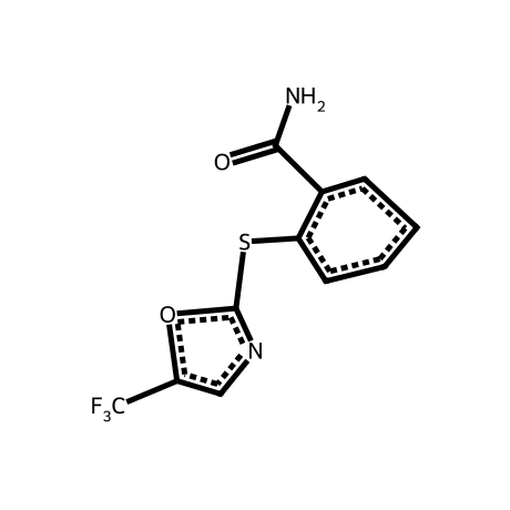 NC(=O)c1ccccc1Sc1ncc(C(F)(F)F)o1